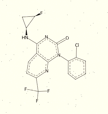 O=c1nc(N[C@H]2C[C@H]2F)c2ccc(C(F)(F)F)nc2n1-c1ccccc1Cl